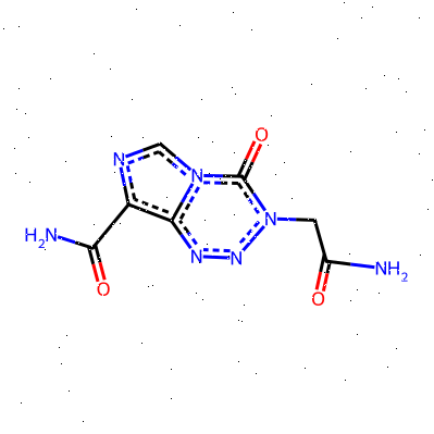 NC(=O)Cn1nnc2c(C(N)=O)ncn2c1=O